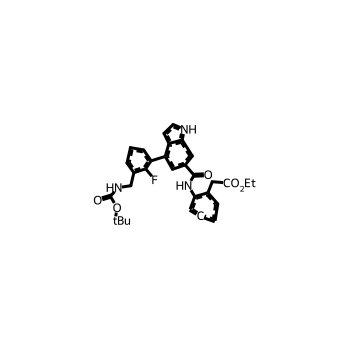 CCOC(=O)Cc1ccccc1NC(=O)c1cc(-c2cccc(CNC(=O)OC(C)(C)C)c2F)c2cc[nH]c2c1